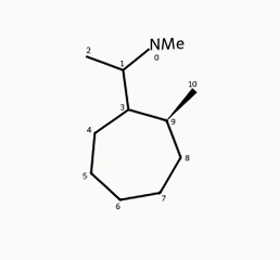 CNC(C)C1CCCCC[C@@H]1C